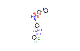 O=C(Nc1ccc(C#[N+]NS(=O)(=O)c2ccc(-c3ccccn3)s2)cc1)Nc1cccc(Cl)c1Cl